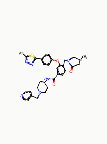 CC(C)c1nnc(-c2ccc(Oc3cc(C(=O)NC4CCN(Cc5ccncc5)CC4)ccc3CN3C[C@@H](C)CC3=O)cc2)s1